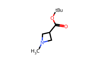 CN1CC(C(=O)OC(C)(C)C)C1